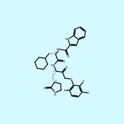 O=C(N[C@@H](CC1CCCCC1)C(=O)N[C@@H](C[C@@H]1CCNC1=O)C(=O)COc1c(F)ccc(F)c1F)c1cc2ccccc2[nH]1